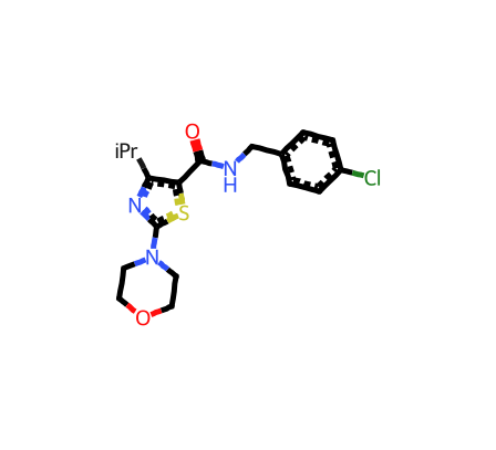 CC(C)c1nc(N2CCOCC2)sc1C(=O)NCc1ccc(Cl)cc1